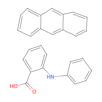 O=C(O)c1ccccc1Nc1ccccc1.c1ccc2cc3ccccc3cc2c1